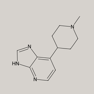 CN1CCC(c2ccnc3[nH]cnc23)CC1